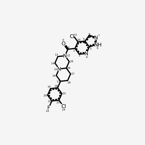 O=C(c1cnc2[nH]ncc2c1Cl)N1CCN2CC(c3ccc(F)c(Cl)c3)CCC2C1